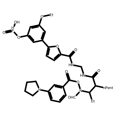 CCCCCC(C(=O)NCNC(=O)c1ccc(-c2cc(OCC)cc(O[PH](=O)O)c2)o1)C(CC)N(C=O)OC(=O)c1cccc(N2CCCC2)c1